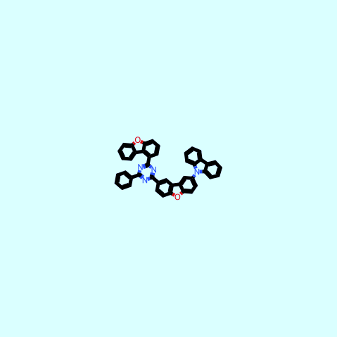 c1ccc(-c2nc(-c3ccc4oc5ccc(-n6c7ccccc7c7ccccc76)cc5c4c3)nc(-c3cccc4oc5ccccc5c34)n2)cc1